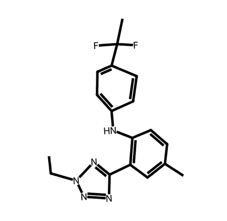 CCn1nnc(-c2cc(C)ccc2Nc2ccc(C(C)(F)F)cc2)n1